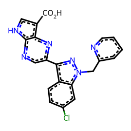 O=C(O)c1c[nH]c2ncc(-c3nn(Cc4ccccn4)c4cc(Cl)ccc34)nc12